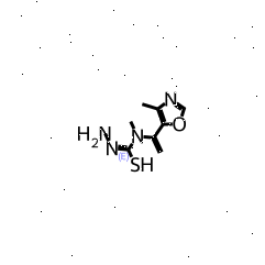 C=C(c1ocnc1C)N(C)/C(S)=N\N